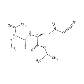 CO[C@H](C(C)=O)C(=O)N[C@@H](CCC(=O)C=[N+]=[N-])C(=O)OC(C)C